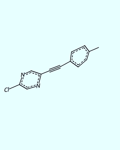 Cc1ccc(C#Cc2cnc(Cl)cn2)cc1